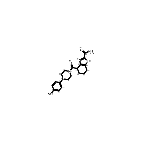 CC(=O)c1ccc(N2CCN(C(=O)C3CCCc4sc(C(N)=O)nc43)CC2)cc1